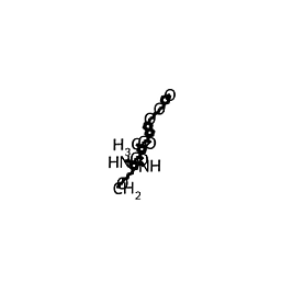 C=COCCCCc1cc(C=N)c(OC(=O)c2ccc(OC(=O)c3ccc4cc(OCCCOCC5CCC6OC6C5)ccc4c3)c(C)c2)c(C=N)c1